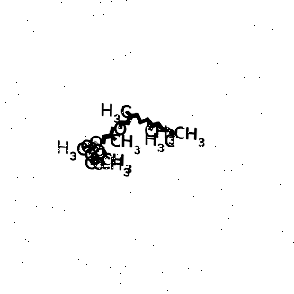 COP(=O)(OC)OP(=O)(OC)OC/C=C(\C)COC/C=C(\C)CC/C=C(\C)CCC=C(C)C